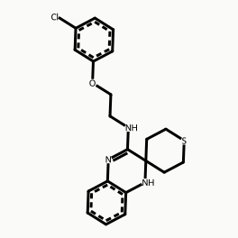 Clc1cccc(OCCNC2=Nc3ccccc3NC23CCSCC3)c1